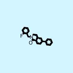 O=c1c2ccc(-c3ccccc3)cc2ccn1Cc1ccccc1F